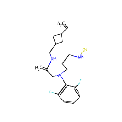 C=CC1CC(CNC(=C)CN(CCCNS)c2c(F)cccc2F)C1